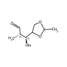 CB1OCC([C@@H](O)[C@H](C)C=O)O1